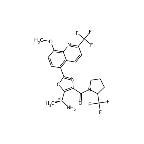 COc1ccc(-c2nc(C(=O)N3CCCC3C(F)(F)F)c([C@H](C)N)o2)c2ccc(C(F)(F)F)nc12